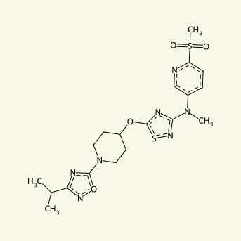 CC(C)c1noc(N2CCC(Oc3nc(N(C)c4ccc(S(C)(=O)=O)nc4)ns3)CC2)n1